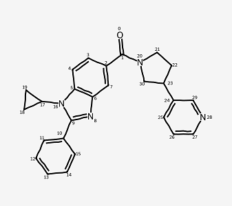 O=C(c1ccc2c(c1)nc(-c1ccccc1)n2C1CC1)N1CCC(c2cccnc2)C1